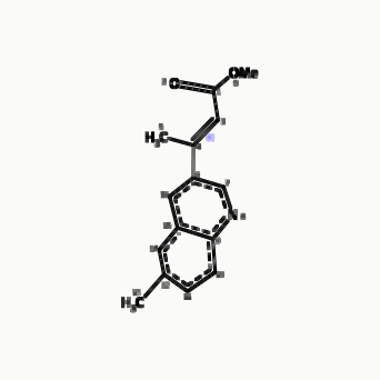 COC(=O)/C=C(\C)c1cnc2ccc(C)cc2c1